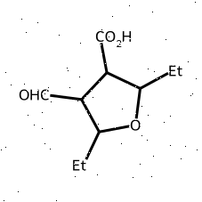 CCC1OC(CC)C(C(=O)O)C1C=O